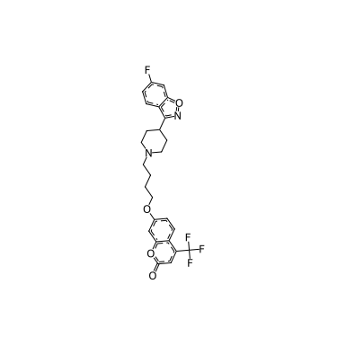 O=c1cc(C(F)(F)F)c2ccc(OCCCCN3CCC(c4noc5cc(F)ccc45)CC3)cc2o1